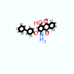 Nc1c(Oc2ccc(-c3ccccc3)cc2)cc(O)c2c1C(=O)c1ccccc1C2=O